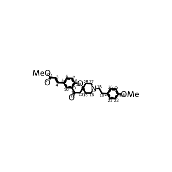 COC(=O)C=Cc1ccc2c(c1)C(=O)CC1(CCN(CCc3ccc(OC)cc3)CC1)O2